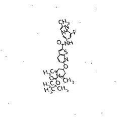 Cc1cn2cc(NC(=O)c3cc4ccc(OC5C[C@@H](C)N(C(=O)OC(C)(C)C)[C@@H](C)C5)nc4s3)cc(F)c2n1